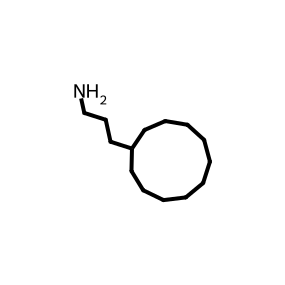 NCCCC1CCCCCCCCCC1